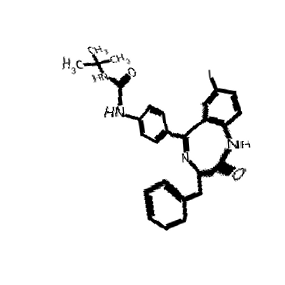 CC(C)(C)NC(=O)Nc1ccc(C2=NC(Cc3ccccc3)C(=O)Nc3ccc(I)cc32)cc1